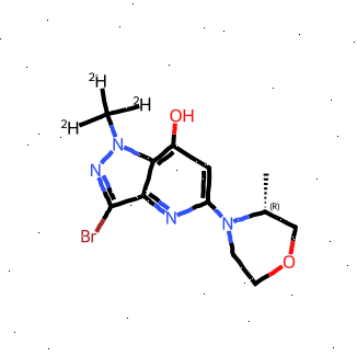 [2H]C([2H])([2H])n1nc(Br)c2nc(N3CCOC[C@H]3C)cc(O)c21